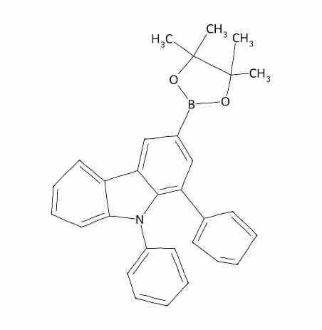 CC1(C)OB(c2cc(-c3ccccc3)c3c(c2)c2ccccc2n3-c2ccccc2)OC1(C)C